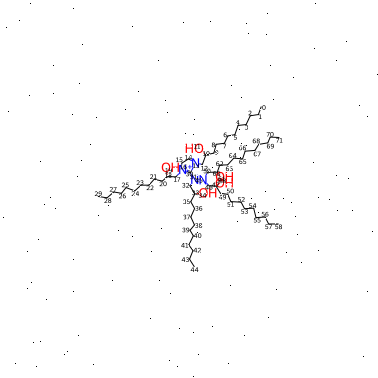 CCCCCCCCCCC(O)CN1CC[N+](CC(O)CCCCCCCCCC)=C1N(CC(O)CCCCCCCCCC)N(CC(O)CCCCCCCCCC)CC(O)CCCCCCCCCC